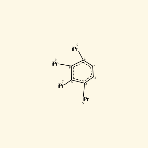 CC(C)c1ccc(C(C)C)c(C(C)C)c1C(C)C